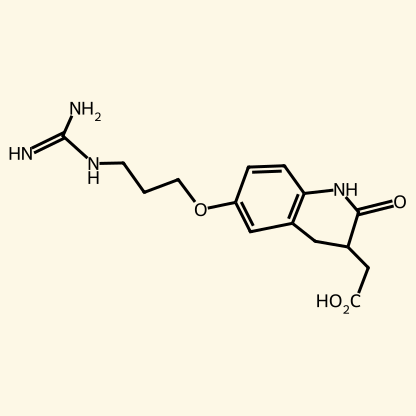 N=C(N)NCCCOc1ccc2c(c1)CC(CC(=O)O)C(=O)N2